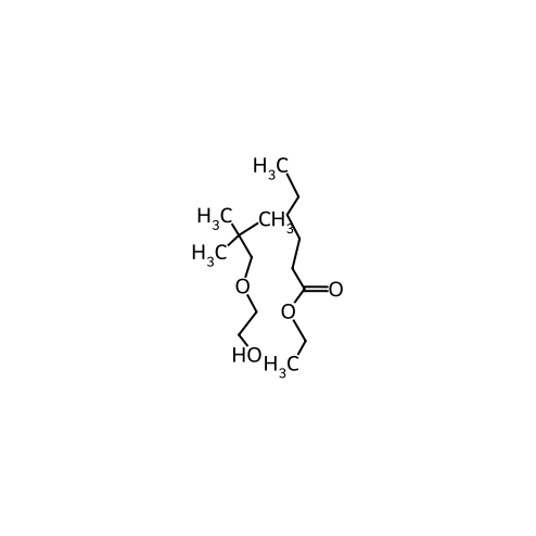 CC(C)(C)COCCO.CCCCCC(=O)OCC